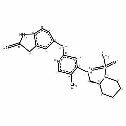 CS(=O)(=O)N1CCCC[C@H]1CNc1nc(Nc2ccc3c(c2)CC(=O)N3)ncc1C(F)(F)F